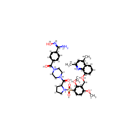 COc1ccc(S(=O)(=O)N2CCCC2C(=O)N2CCN(C(=O)c3ccc(/C(N)=N\O)cc3)CC2)c(OC)c1COc1cccc2c(C)cc(C)nc12